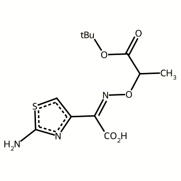 CC(ON=C(C(=O)O)c1csc(N)n1)C(=O)OC(C)(C)C